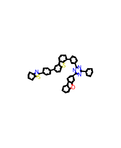 c1ccc(-c2nc(-c3cccc(-c4cccc5c4sc4ccc(-c6ccc(-c7nc8ccccc8s7)cc6)cc45)c3)nc(-c3ccc4c(c3)oc3ccccc34)n2)cc1